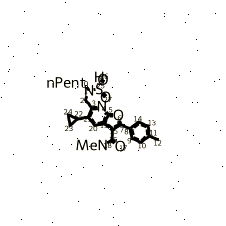 CC[CH]CCN(Cc1nc2oc(-c3ccc(C)cc3)c(C(=O)NC)c2cc1C1CC1)[SH](=O)=O